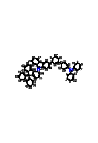 c1ccc(N(c2ccccc2)c2ccc(-c3cccc(-c4ccc5c(c4)c4ccccc4n5-c4cccc5c4-c4ccccc4C5(c4ccccc4)c4ccccc4)c3)cc2)cc1